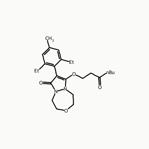 CCCCC(=O)CCOc1c(-c2c(CC)cc(C)cc2CC)c(=O)n2n1CCOCC2